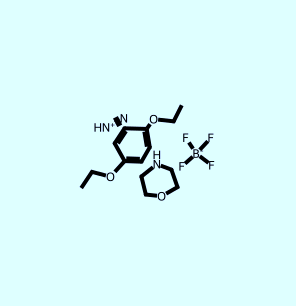 C1COCCN1.CCOc1ccc(OCC)cc1.F[B-](F)(F)F.N#[NH+]